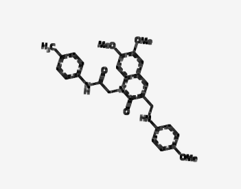 COc1ccc(NCc2cc3cc(OC)c(OC)cc3n(CC(=O)Nc3ccc(C)cc3)c2=O)cc1